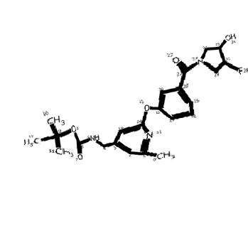 Cc1cc(CNC(=O)OC(C)(C)C)cc(Oc2cccc(C(=O)N3CC(O)C(F)C3)c2)n1